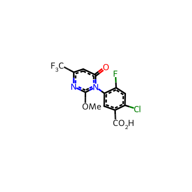 COc1nc(C(F)(F)F)cc(=O)n1-c1cc(C(=O)O)c(Cl)cc1F